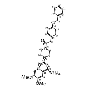 COc1cc2nc(N3CCN(C(=O)Cc4ccc(OCc5ccccc5)cc4)CC3)nc(NC(C)=O)c2cc1OC